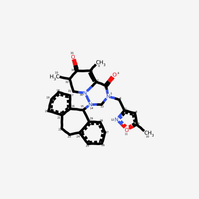 CC1=C2C(=O)N(Cc3cc(C)on3)CN(C3c4ccccc4CCc4ccccc43)N2CC(C)C1=O